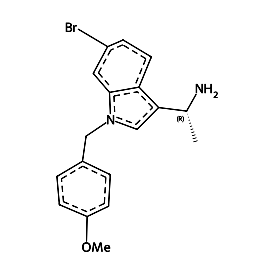 COc1ccc(Cn2cc([C@@H](C)N)c3ccc(Br)cc32)cc1